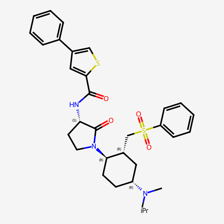 CC(C)N(C)[C@@H]1CC[C@@H](N2CC[C@H](NC(=O)c3cc(-c4ccccc4)cs3)C2=O)[C@H](CS(=O)(=O)c2ccccc2)C1